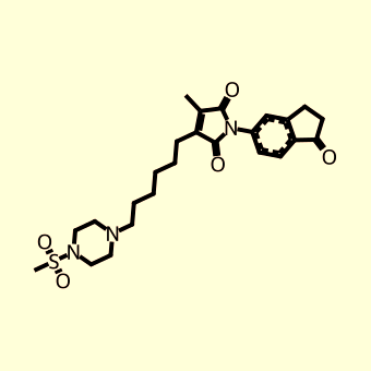 CC1=C(CCCCCCN2CCN(S(C)(=O)=O)CC2)C(=O)N(c2ccc3c(c2)CCC3=O)C1=O